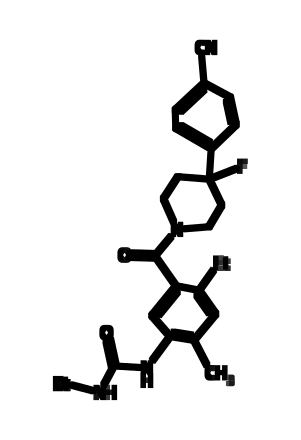 CCNC(=O)Nc1cc(C(=O)N2CCC(F)(c3ccc(C#N)cc3)CC2)c(CC)cc1C